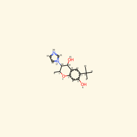 CC1Oc2cc(O)c(C(C)(C)C)cc2C(O)C1n1ccnc1